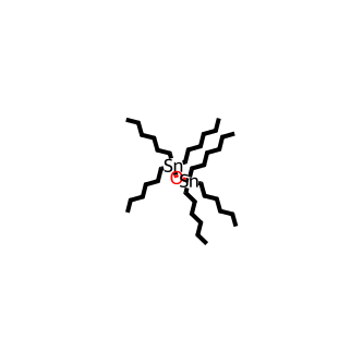 CCCCC[CH2][Sn]([CH2]CCCCC)([CH2]CCCCC)[O][Sn]([CH2]CCCCC)([CH2]CCCCC)[CH2]CCCCC